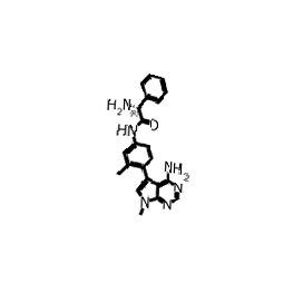 Cc1cc(NC(=O)[C@H](N)c2ccccc2)ccc1-c1cn(C)c2ncnc(N)c12